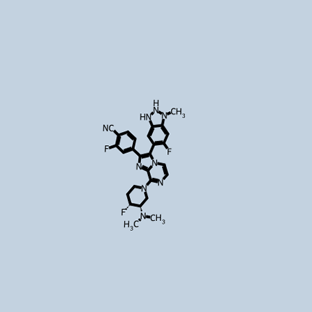 CN1NNc2cc(-c3c(-c4ccc(C#N)c(F)c4)nc4c(N5CC[C@@H](F)[C@@H](N(C)C)C5)nccn34)c(F)cc21